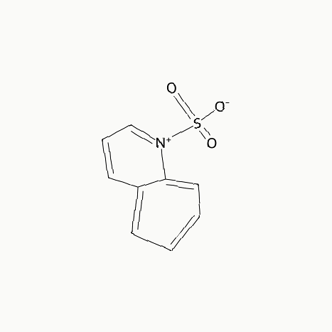 O=S(=O)([O-])[n+]1cccc2ccccc21